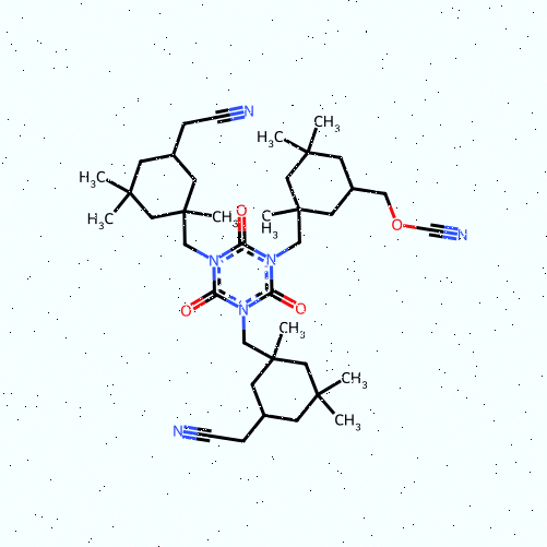 CC1(C)CC(CC#N)CC(C)(Cn2c(=O)n(CC3(C)CC(CC#N)CC(C)(C)C3)c(=O)n(CC3(C)CC(COC#N)CC(C)(C)C3)c2=O)C1